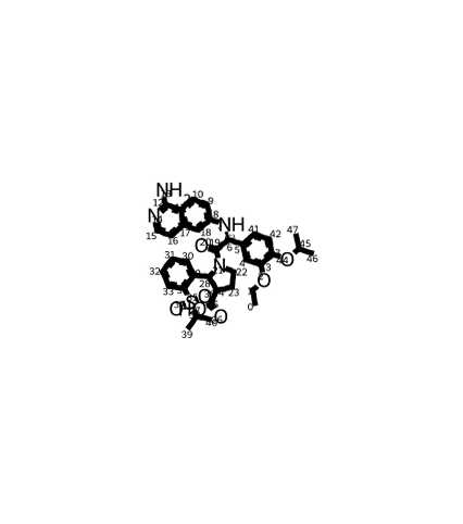 CCOc1cc([C@H](Nc2ccc3c(N)nccc3c2)C(=O)N2CCC(C(=O)O)C2c2ccccc2S(=O)(=O)C(C)C)ccc1OC(C)C